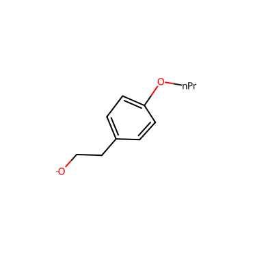 CCCOc1ccc(CC[O])cc1